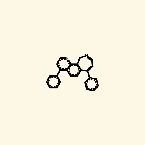 C1=NCc2c(ccc3c(-c4ccccc4)ccnc23)C(c2ccccc2)=C1